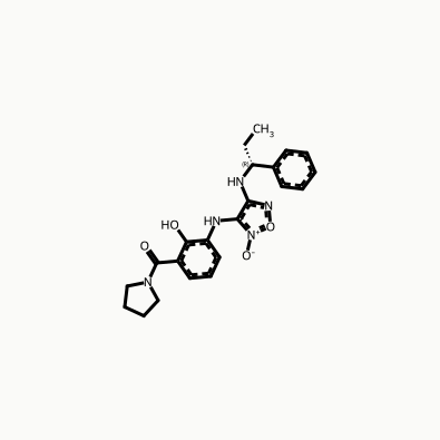 CC[C@@H](Nc1no[n+]([O-])c1Nc1cccc(C(=O)N2CCCC2)c1O)c1ccccc1